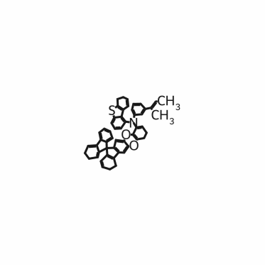 C/C=C(\C)c1cccc(N(C2=CCCC3=C2Oc2cc4c(cc2O3)C2=C(C=CCC2)C42C3=CCCC=C3c3ccccc32)c2cccc3sc4c(c23)C=CCC4)c1